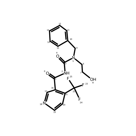 O=C(NC(=O)N(CCO)Cc1ccccc1)c1cnccc1C(F)(F)F